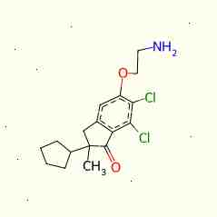 CC1(C2CCCC2)Cc2cc(OCCN)c(Cl)c(Cl)c2C1=O